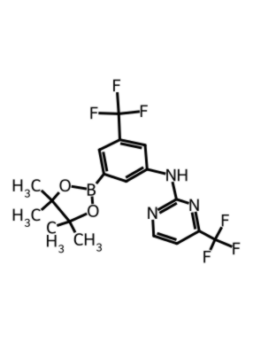 CC1(C)OB(c2cc(Nc3nccc(C(F)(F)F)n3)cc(C(F)(F)F)c2)OC1(C)C